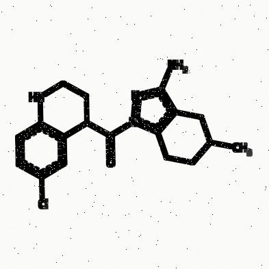 CC1CCc2c(c(N)nn2C(=O)C2CCNc3ccc(Cl)cc32)C1